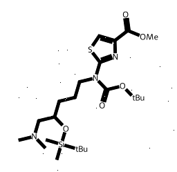 COC(=O)c1csc(N(CCCC(CN(C)C)O[Si](C)(C)C(C)(C)C)C(=O)OC(C)(C)C)n1